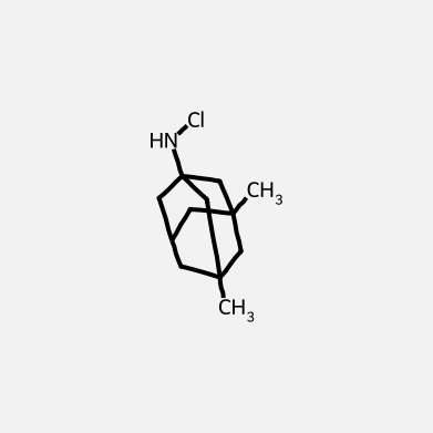 CC12CC3CC(C)(C1)CC(NCl)(C3)C2